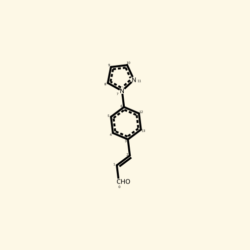 O=C/C=C/c1ccc(-n2cccn2)cc1